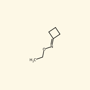 CCON=C1CCC1